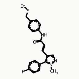 CCSCc1ccc(NC(=O)C=Cc2cnn(C)c2-c2ccc(F)cc2)cc1